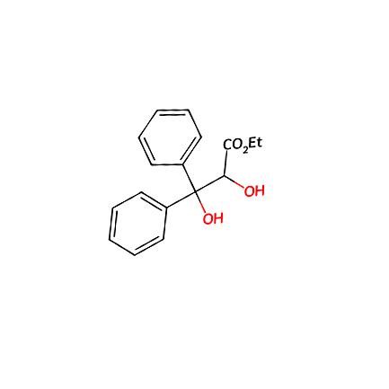 CCOC(=O)C(O)C(O)(c1ccccc1)c1ccccc1